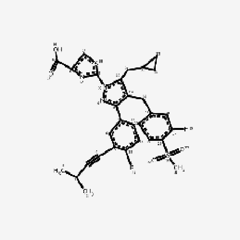 CC(C)C#Cc1cc(-c2nn(-c3nc(C(=O)O)cs3)c(CC3CC3)c2Cc2ccc(S(C)(=O)=O)c(F)c2)ccc1F